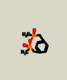 CP1(=O)Cc2ccc(cc2)CP(C)(=O)O1